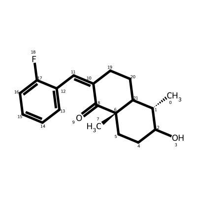 C[C@@H]1C(O)CC[C@]2(C)C(=O)/C(=C\c3ccccc3F)CCC12